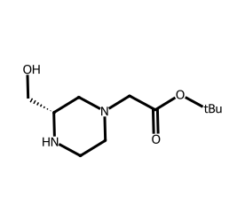 CC(C)(C)OC(=O)CN1CCN[C@H](CO)C1